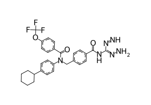 N=N/C(=N\N)NC(=O)c1ccc(CN(C(=O)c2ccc(OC(F)(F)F)cc2)c2ccc(C3CCCCC3)cc2)cc1